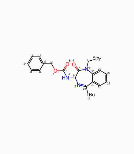 CC(C)CN1C(=O)[C@@H](NC(=O)OCc2ccccc2)N=C(C(C)(C)C)c2ccccc21